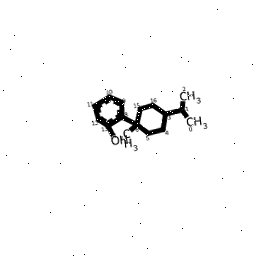 CC(C)C1CCC(C)(c2ccccc2O)CC1